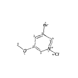 COc1cc(Br)c[n+](Cl)c1